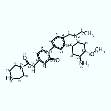 CCN(Cc1ccc(-n2ccc(NC(=O)N3CCNCC3)nc2=O)cc1)[C@H]1CC[C@H](N)[C@@H](OC)C1